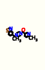 Cc1ccc(C(=O)N2CCN(C(C)c3ccc4scnc4c3)CC2)cn1